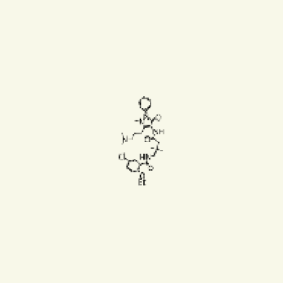 CCOc1ccc(Cl)cc1C(=O)NCC(C)(C)CC(=O)Nc1c(CCCN(C)C)n(C)n(-c2ccccc2)c1=O